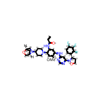 C=CC(=O)Nc1cc(Nc2cc(N3OCC[C@@H]3c3ccc(F)c(F)c3F)ncn2)c(OC)cc1N1CCC(N2C[C@H]3C[C@@H]2CO3)CC1